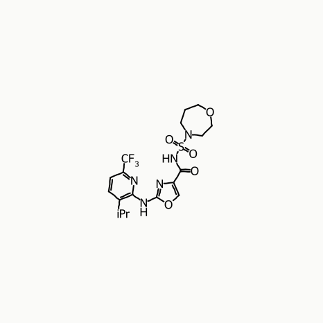 CC(C)c1ccc(C(F)(F)F)nc1Nc1nc(C(=O)NS(=O)(=O)N2CCCOCC2)co1